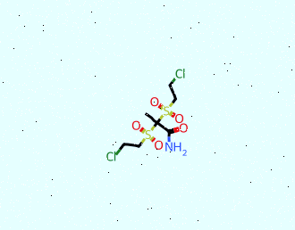 CC(C(N)=O)(S(=O)(=O)CCCl)S(=O)(=O)CCCl